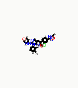 Cc1nc(-c2ccc(-c3cc4cnc(NC5CCOCC5)nc4n(Cc4ccccc4C)c3=O)c(Cl)c2)no1